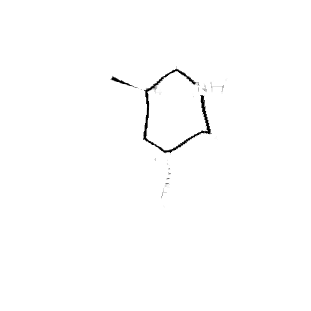 C[C@H]1CNC[C@H](F)C1